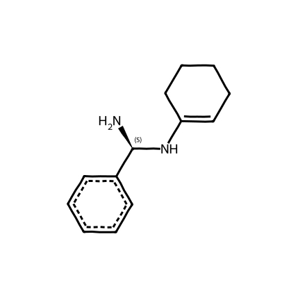 N[C@@H](NC1=CCCCC1)c1ccccc1